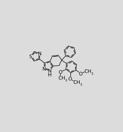 COc1ccc(C2(c3ccccc3)C=Cc3c(-c4cscn4)n[nH]c3C2)c(OC)c1OC